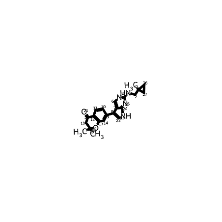 CC1(CNc2ncc3c(-c4ccc5c(c4)OC(C)(C)CC5=O)c[nH]c3n2)CC1